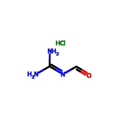 Cl.NC(N)=NC=O